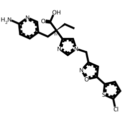 CC[C@@](Cc1ccc(N)nc1)(C(=O)O)c1cn(Cc2cc(-c3ccc(Cl)s3)on2)cn1